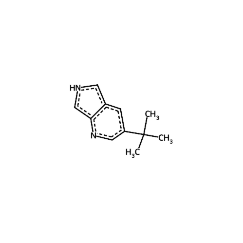 CC(C)(C)c1cnc2c[nH]cc2c1